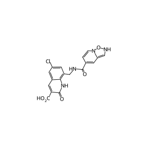 O=C(NCc1cc(Cl)cc2cc(C(=O)O)c(=O)[nH]c12)C1=CC2=CNON2C=C1